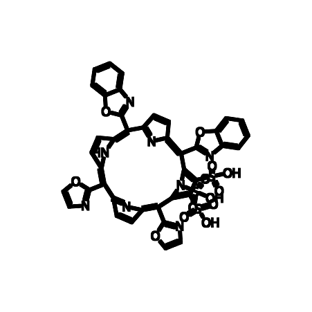 O=S(=O)(O)c1c(S(=O)(=O)O)c2c(-c3nc4ccccc4o3)c3nc(c(-c4nc5ccccc5o4)c4ccc([nH]4)c(-c4ncco4)c4nc(c(-c5ncco5)c1n2S(=O)(=O)O)C=C4)C=C3